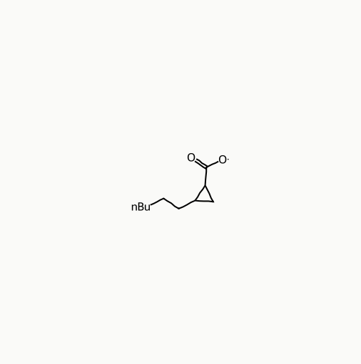 CCCCCCC1CC1C([O])=O